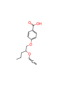 C=C=COC(CCC)COc1ccc(C(=O)O)cc1